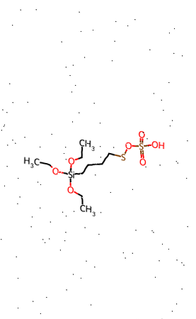 CCO[Si](CCCCSOS(=O)(=O)O)(OCC)OCC